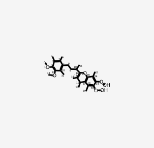 COc1c(C)c(C)c(CCC(C)C2=C(C)C(C)c3c(C)c(OO)c(OO)c(C)c3O2)c(C)c1OC